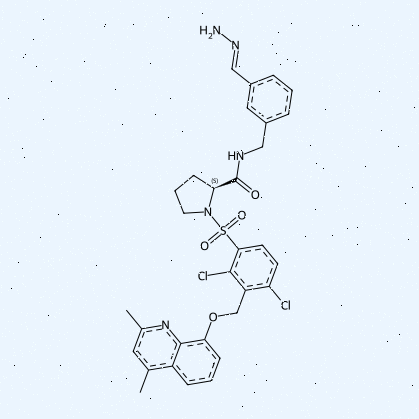 Cc1cc(C)c2cccc(OCc3c(Cl)ccc(S(=O)(=O)N4CCC[C@H]4C(=O)NCc4cccc(C=NN)c4)c3Cl)c2n1